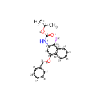 CC(C)OC(=O)Nc1cc(OCc2ccccc2)c2ccccc2c1I